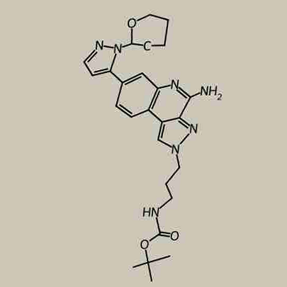 CC(C)(C)OC(=O)NCCCn1cc2c(n1)c(N)nc1cc(-c3ccnn3C3CCCCO3)ccc12